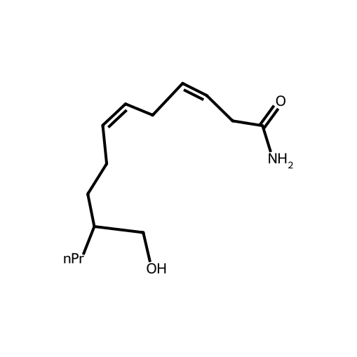 CCCC(CO)CC/C=C\C/C=C\CC(N)=O